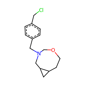 ClCc1ccc(CN2COCCC3CC3C2)cc1